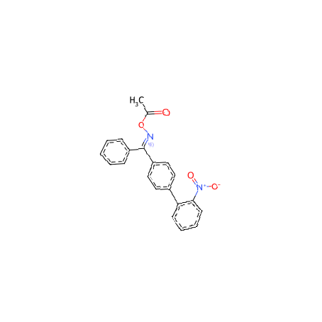 CC(=O)O/N=C(\c1ccccc1)c1ccc(-c2ccccc2[N+](=O)[O-])cc1